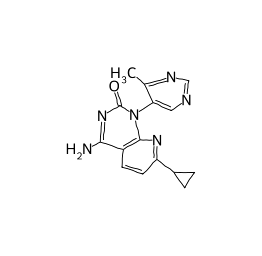 Cc1ncncc1-n1c(=O)nc(N)c2ccc(C3CC3)nc21